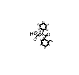 Cc1ccccc1C(=O)C(O)c1ccccc1.O=CO